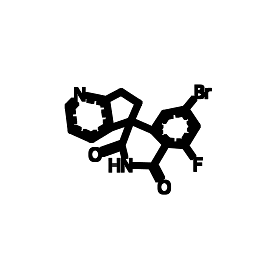 O=C1NC(=O)C2(CCc3ncccc32)c2cc(Br)cc(F)c21